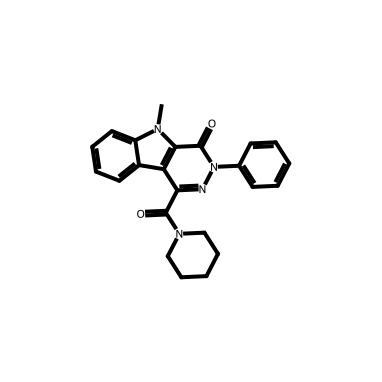 Cn1c2ccccc2c2c(C(=O)N3CCCCC3)nn(-c3ccccc3)c(=O)c21